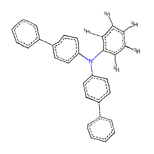 [2H]c1c([2H])c([2H])c(N(c2ccc(-c3ccccc3)cc2)c2ccc(-c3ccccc3)cc2)c([2H])c1[2H]